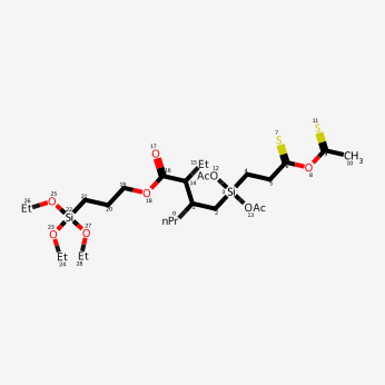 CCCC(C[Si](CCC(=S)OC(C)=S)(OC(C)=O)OC(C)=O)C(CC)C(=O)OCCC[Si](OCC)(OCC)OCC